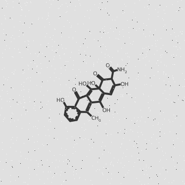 CC1=C2C(O)=C3C=C(O)C(C(N)=O)C(=O)C3(O)C(O)=C2C(=O)c2c(O)cccc21